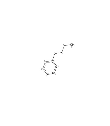 OCC[CH]c1ccccc1